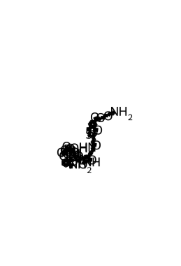 CSSC(C)c1ccc(C(=O)COCCOCCN)cc1C(=O)OCCCCC(=O)NCC#Cc1cn([C@H]2C[C@@H](OC(=O)c3ccccc3C(C)N)C(COP(=O)(O)OP(=O)(O)OP(=O)(O)O)O2)c(=O)[nH]c1=O